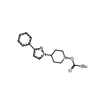 CC(C)(C)C(=O)ON1CCC(n2ccc(-c3ccccc3)n2)CC1